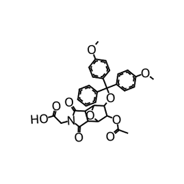 COc1ccc(C(OC2C(OC(C)=O)C3OC2C2C(=O)N(CC(=O)O)C(=O)C32)(c2ccccc2)c2ccc(OC)cc2)cc1